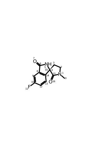 CN1CC[C@@]2(NC(=O)c3cc(F)ccc32)C1=O